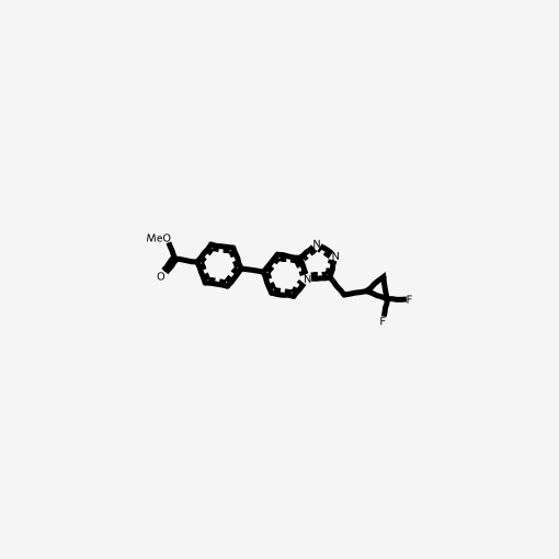 COC(=O)c1ccc(-c2ccn3c(CC4CC4(F)F)nnc3c2)cc1